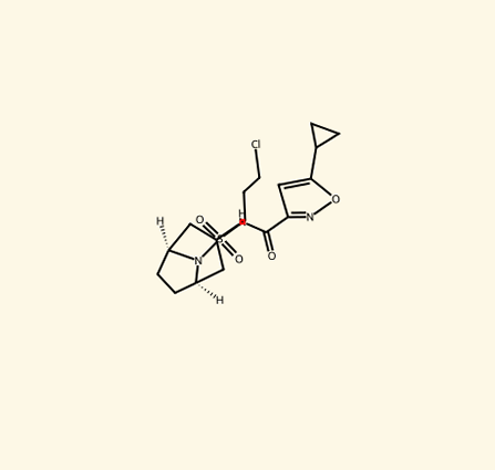 O=C(NC1C[C@H]2CC[C@@H](C1)N2S(=O)(=O)CCCCl)c1cc(C2CC2)on1